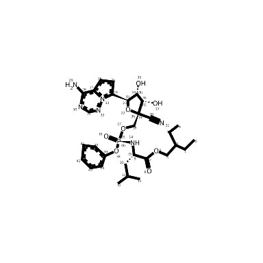 CCC(CC)COC(=O)[C@H](CC(C)C)N[P@@](=O)(OC[C@@]1(C#N)O[C@@H](c2ccc3c(N)ncnn23)[C@H](O)[C@@H]1O)Oc1ccccc1